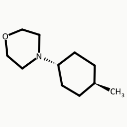 C[C@H]1CC[C@H](N2CCOCC2)CC1